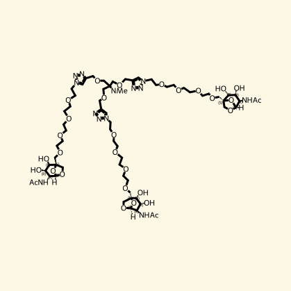 CNC(COCc1cn(CCOCCOCCOCCOC[C@@]23CO[C@H](O2)[C@H](NC(C)=O)[C@@H](O)[C@H]3O)nn1)(COCc1cn(CCOCCOCCOCCOC[C@@]23CO[C@@H](O2)[C@H](NC(C)=O)[C@@H](O)[C@H]3O)nn1)COCc1cn(CCOCCOCCOCCOC[C@@]23CO[C@@H](O2)[C@H](NC(C)=O)[C@@H](O)[C@H]3O)nn1